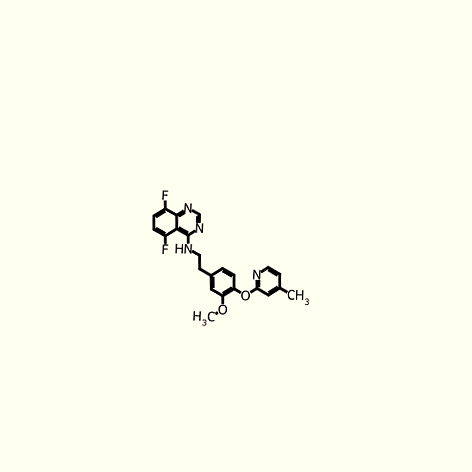 COc1cc(CCNc2ncnc3c(F)ccc(F)c23)ccc1Oc1cc(C)ccn1